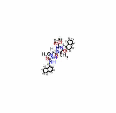 CCOC(OCC)[C@H](C)N(Cc1cccc2ccccc12)C(=O)[C@H](C)NC(=O)CN(C)NC(=O)NCc1cccc2ccccc12